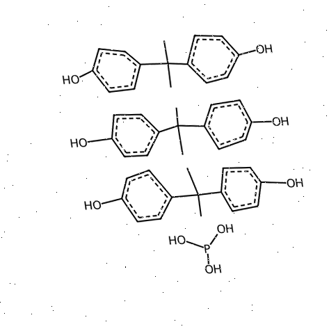 CC(C)(c1ccc(O)cc1)c1ccc(O)cc1.CC(C)(c1ccc(O)cc1)c1ccc(O)cc1.CC(C)(c1ccc(O)cc1)c1ccc(O)cc1.OP(O)O